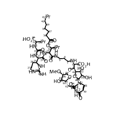 CO[C@H]1[C@H](OC(C(NCCCNC(=O)C(NC(=O)C(NC(=O)NC(C(=O)O)C(C)C)C2CCNC(=N)N2)C(OC(=O)CCCCCC(C)C)C(C)C)C(=O)O)C2O[C@@H](n3ccc(=O)[nH]c3=O)C(O)C2O)O[C@H](CN)[C@H]1O